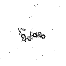 COCCOc1ccn2c(-c3ccnc(Nc4ccc(C(=O)Nc5ccccc5N)cc4)n3)c(C)nc2c1